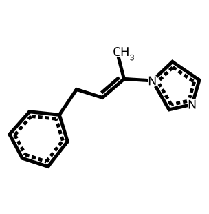 C/C(=C\Cc1ccccc1)n1ccnc1